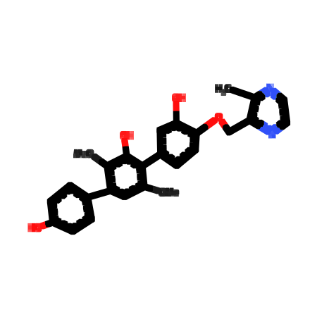 COc1cc(-c2ccc(O)cc2)c(OC)c(O)c1-c1ccc(OCc2nccnc2C)c(O)c1